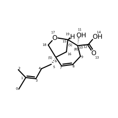 CC(C)=CCC[C@@]12C=CC[C@](O)(C(=O)O)[C@H](C1)OC2